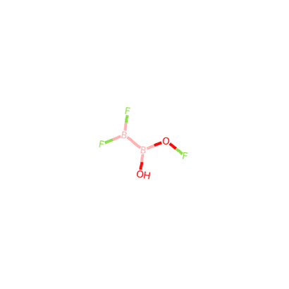 OB(OF)B(F)F